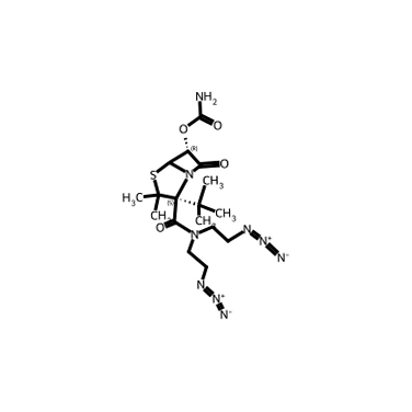 CC(C)(C)[C@@]1(C(=O)N(CCN=[N+]=[N-])CCN=[N+]=[N-])N2C(=O)[C@@H](OC(N)=O)C2SC1(C)C